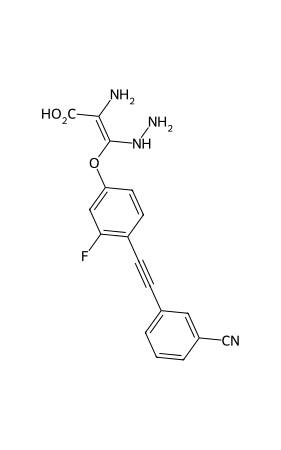 N#Cc1cccc(C#Cc2ccc(O/C(NN)=C(/N)C(=O)O)cc2F)c1